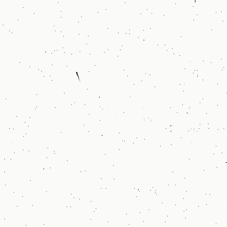 C[C@@H]1CN(Cc2ccc(F)cc2)[C@@H](C)CN1C(=O)CC(NC(=O)c1ccccc1[N+](=O)[O-])c1ccc(Cl)cc1